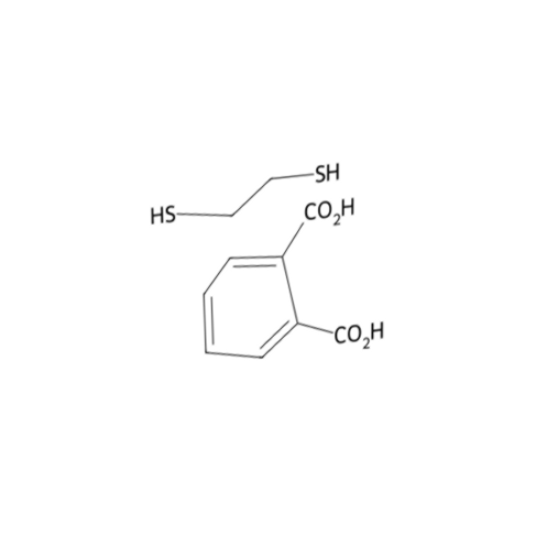 O=C(O)c1ccccc1C(=O)O.SCCS